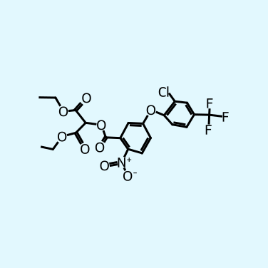 CCOC(=O)C(OC(=O)c1cc(Oc2ccc(C(F)(F)F)cc2Cl)ccc1[N+](=O)[O-])C(=O)OCC